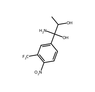 CC(O)C(N)(O)c1ccc([N+](=O)[O-])c(C(F)(F)F)c1